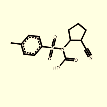 Cc1ccc(S(=O)(=O)N(C(=O)O)C2CCCC2C#N)cc1